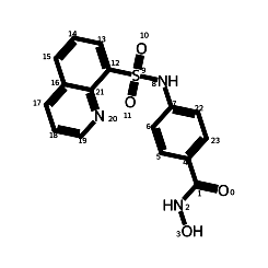 O=C(NO)c1ccc(NS(=O)(=O)c2cccc3cccnc23)cc1